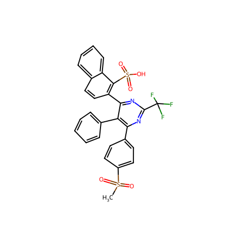 CS(=O)(=O)c1ccc(-c2nc(C(F)(F)F)nc(-c3ccc4ccccc4c3S(=O)(=O)O)c2-c2ccccc2)cc1